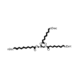 CCCCCCCCCCCCCCCCCCCC(=O)OC[C@@H](COC(=O)CCCCCCCCCCCCCCCCC)OC(=O)CCCCCCCCCCCCCCCCC